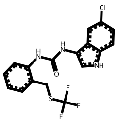 O=C(Nc1ccccc1CSC(F)(F)F)Nc1c[nH]c2ccc(Cl)cc12